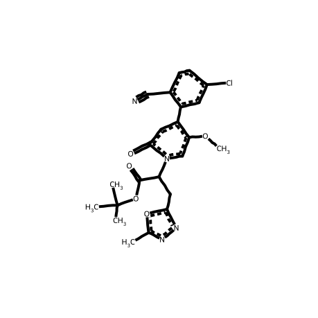 COc1cn(C(Cc2nnc(C)o2)C(=O)OC(C)(C)C)c(=O)cc1-c1cc(Cl)ccc1C#N